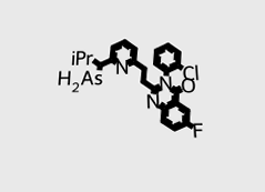 CC(C)C([AsH2])c1cccc(CCc2nc3ccc(F)cc3c(=O)n2-c2ccccc2Cl)n1